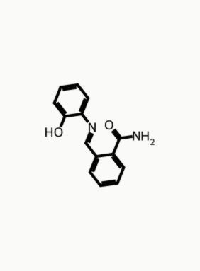 NC(=O)c1ccccc1C=Nc1ccccc1O